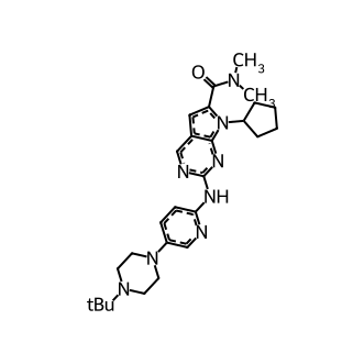 CN(C)C(=O)c1cc2cnc(Nc3ccc(N4CCN(C(C)(C)C)CC4)cn3)nc2n1C1CCCC1